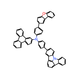 c1ccc2c(c1)oc1ccc(-c3ccc(N(c4ccc(-c5ccc6c(c5)c5cccc7c8ccccc8n6c75)cc4)c4ccc5c6ccccc6c6ccccc6c5c4)cc3)cc12